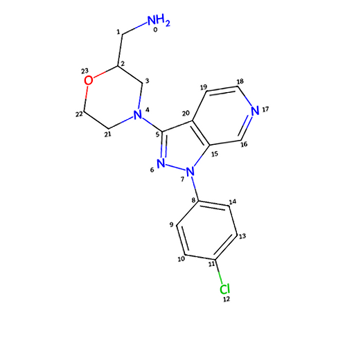 NCC1CN(c2nn(-c3ccc(Cl)cc3)c3cnccc23)CCO1